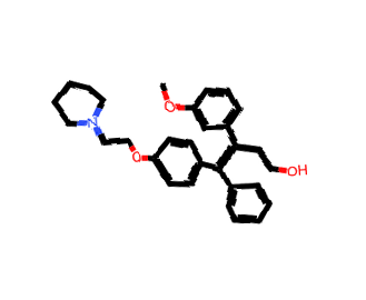 COc1cccc(/C(CCO)=C(/c2ccccc2)c2ccc(OCCN3CCCCC3)cc2)c1